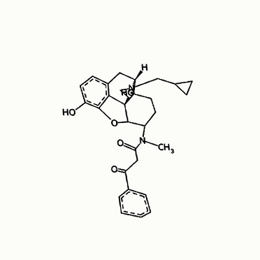 CN(C(=O)CC(=O)c1ccccc1)C1CC[C@@]2(O)[C@H]3Cc4ccc(O)c5c4[C@@]2(CCN3CC2CC2)C1O5